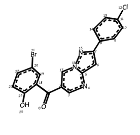 O=C(c1cnc2cc(-c3ccc(Cl)cc3)nn2c1)c1cc(Br)ccc1O